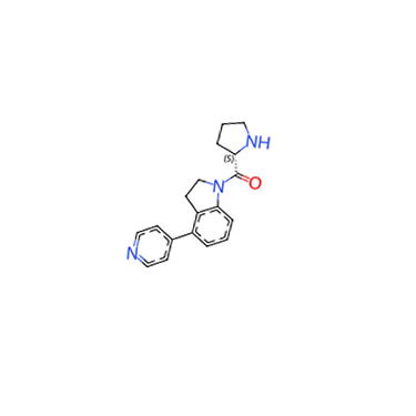 O=C([C@@H]1CCCN1)N1CCc2c(-c3ccncc3)cccc21